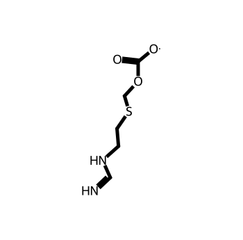 N=CNCCSCOC([O])=O